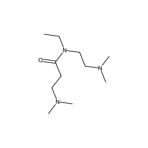 CCN(CCN(C)C)C(=O)CCN(C)C